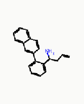 C=CCC(N)c1ccccc1-c1ccc2ccccc2c1